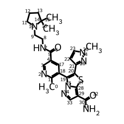 Cc1ncc(C(=O)NCCN2CCCC2(C)C)cc1-c1c(-c2ccn(C)n2)sc2c(C(N)=O)cnn12